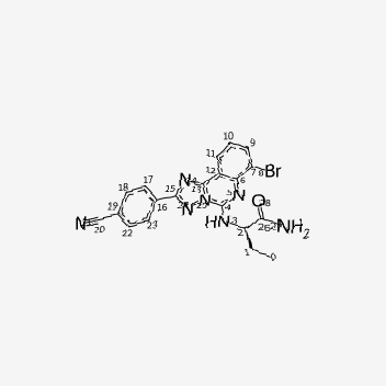 CC[C@@H](Nc1nc2c(Br)cccc2c2nc(-c3ccc(C#N)cc3)nn12)C(N)=O